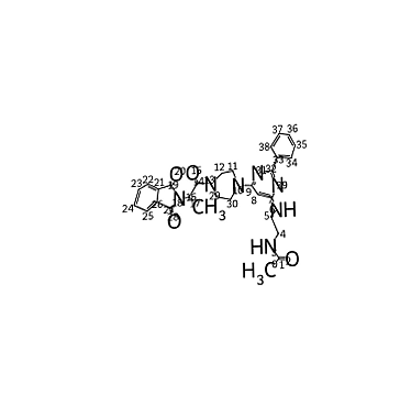 CC(=O)NCCNc1cc(N2CCN(C(=O)C(C)N3C(=O)c4ccccc4C3=O)CC2)nc(-c2ccccc2)n1